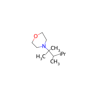 CC(C)C(C)C(C)(C)N1CCOCC1